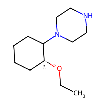 CCO[C@@H]1CCCCC1N1CCNCC1